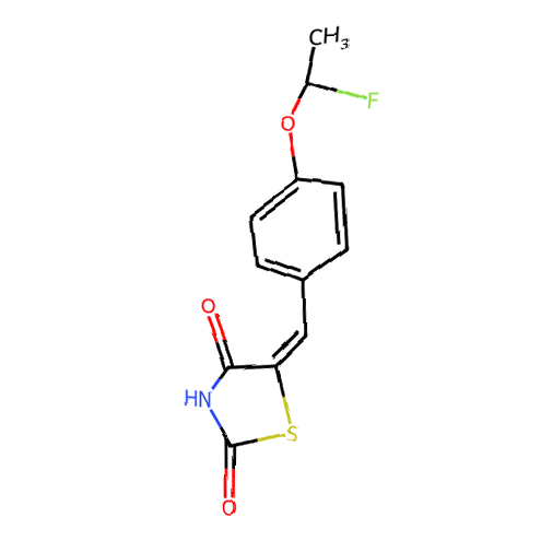 CC(F)Oc1ccc(C=C2SC(=O)NC2=O)cc1